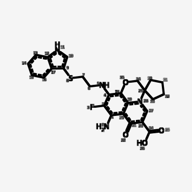 Nc1c(F)c(NCCSc2c[nH]c3ccccc23)c2c3c1c(=O)c(C(=O)O)cn3C1(CCCC1)CO2